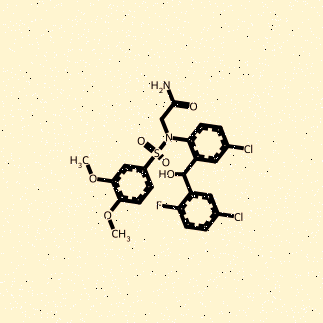 COc1ccc(S(=O)(=O)N(CC(N)=O)c2ccc(Cl)cc2C(O)c2cc(Cl)ccc2F)cc1OC